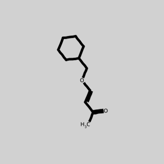 CC(=O)C=COCC1CCCCC1